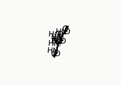 CC(C)(C)OC(=O)NCCC[C@@H](CNC(=O)[C@H](CCCNC(=O)OC(C)(C)C)NC(=O)O)NC(=O)OC(C)(C)C